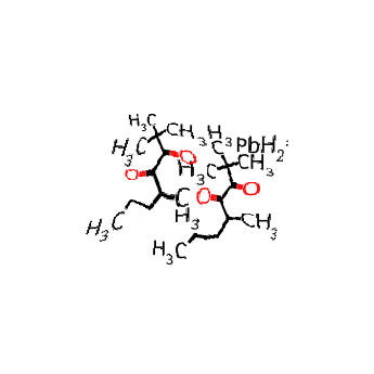 CCCC(C)C(=O)C(=O)C(C)(C)C.CCCC(C)C(=O)C(=O)C(C)(C)C.[PbH2]